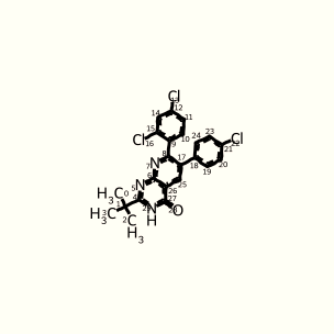 CC(C)(C)c1nc2nc(-c3ccc(Cl)cc3Cl)c(-c3ccc(Cl)cc3)cc2c(=O)[nH]1